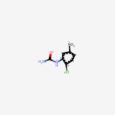 NC(=O)Nc1cc([N+](=O)[O-])ccc1Cl